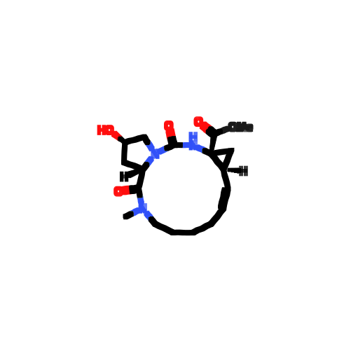 COC(=O)[C@@]12C[C@H]1C=CCCCCN(C)C(=O)[C@@H]1C[C@@H](O)CN1C(=O)N2